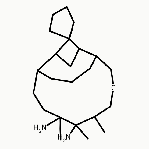 CC1CCCC2CCCC(CCC(C)(N)C1(C)N)C1CC2C12CCCC2